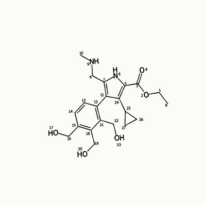 CCOC(=O)c1[nH]c(CNC)c(-c2ccc(CO)c(CO)c2CO)c1C1CC1